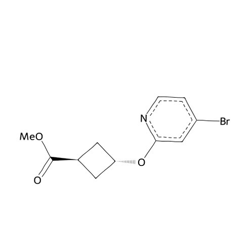 COC(=O)[C@H]1C[C@H](Oc2cc(Br)ccn2)C1